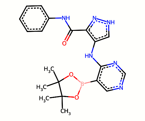 CC1(C)OB(c2cncnc2Nc2c[nH]nc2C(=O)Nc2ccccc2)OC1(C)C